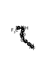 O=C(CN1CC[C@]2(CCN(c3ccc4[nH]nc(-c5ccnc(C(F)(F)F)c5)c4c3)C2=O)C1)N1CC=C(c2ccc(-c3ncc(F)cn3)cc2)CC1